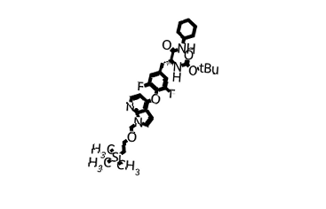 CC(C)(C)OC(=O)N[C@H](Cc1cc(F)c(Oc2ccnc3c2ccn3COCC[Si](C)(C)C)c(F)c1)C(=O)NC1CCCCC1